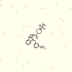 CN(C)S(=O)(=O)N1CCC(C(=O)Nc2nc3ccccc3n2Cc2cccc([N+](=O)[O-])c2)CC1